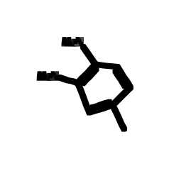 CNc1ccc(C)cc1NC